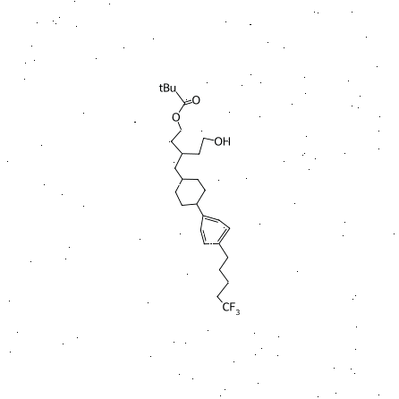 CC(C)(C)C(=O)OCCC(CCO)CC1CCC(c2ccc(CCCCC(F)(F)F)cc2)CC1